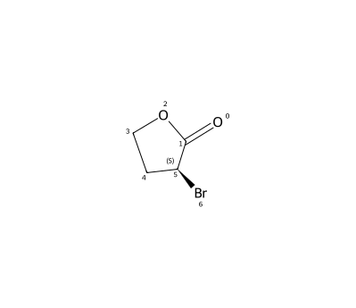 O=C1OCC[C@@H]1Br